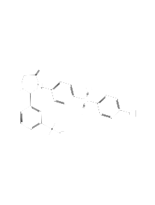 O=C1CSC(c2cccc(C(F)(F)F)c2)N1c1ccc(S(=O)(=O)c2ccc(Cl)cc2)cc1